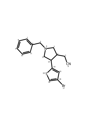 N#CCC1CN(Cc2ccccc2)CC1c1cc(Br)cs1